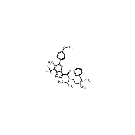 COc1ccc(-c2nc3c(C(=O)N(CCN(C)[C@@H](C)c4cccnc4)C(C)C)cnn3c(C(F)(F)F)c2C)cc1